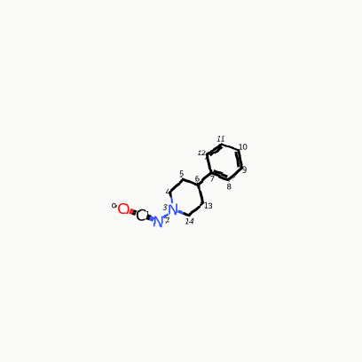 O=C=NN1CCC(c2ccccc2)CC1